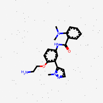 CN(C)c1ccccc1C(=O)Nc1ccc(OCCN)c(-c2ccnn2C)c1